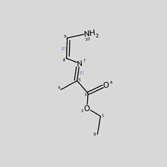 CCOC(=O)/C(C)=N/C=C\N